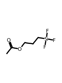 CC(=O)OCCC[Si](F)(F)F